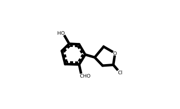 O=Cc1ccc(O)cc1C1COC(Cl)C1